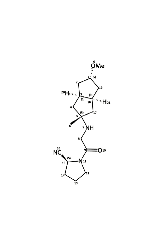 CO[C@H]1C[C@@H]2C[C@@](C)(NCC(=O)N3CCC[C@H]3C#N)C[C@@H]2C1